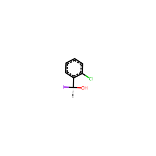 C[C@](O)(I)c1ccccc1Cl